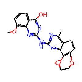 COc1cccc2c(O)nc(Nc3nc(C)c4ccc5c(c4n3)OCCO5)nc12